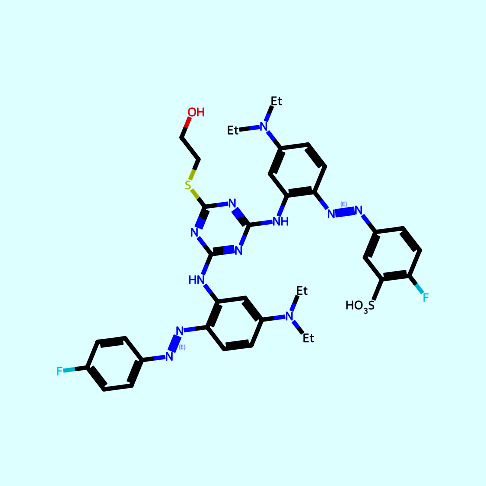 CCN(CC)c1ccc(/N=N/c2ccc(F)cc2)c(Nc2nc(Nc3cc(N(CC)CC)ccc3/N=N/c3ccc(F)c(S(=O)(=O)O)c3)nc(SCCO)n2)c1